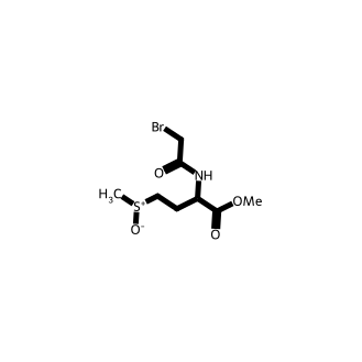 COC(=O)C(CC[S+](C)[O-])NC(=O)CBr